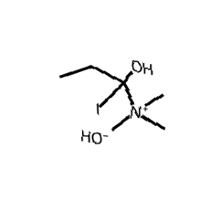 CCC(O)(I)[N+](C)(C)C.[OH-]